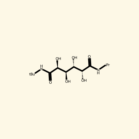 CC(C)NC(=O)[C@H](O)[C@@H](O)[C@@H](O)[C@H](O)C(=O)NC(C)(C)C